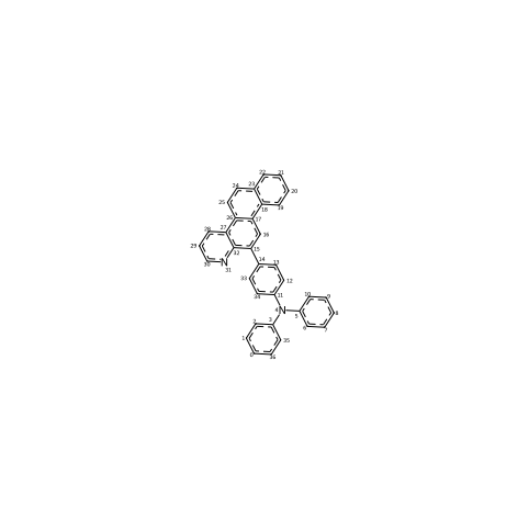 c1ccc(N(c2ccccc2)c2ccc(-c3cc4c5ccccc5ccc4c4cccnc34)cc2)cc1